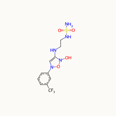 NS(=O)(=O)NCCNC1=CN(c2cccc(C(F)(F)F)c2)ON1O